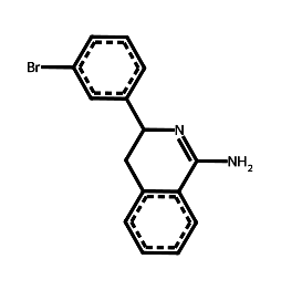 NC1=NC(c2cccc(Br)c2)Cc2ccccc21